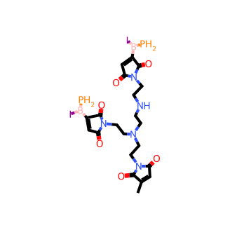 CC1=CC(=O)N(CCN(CCNCCN2C(=O)C=C(B(P)I)C2=O)CCN2C(=O)C=C(B(P)I)C2=O)C1=O